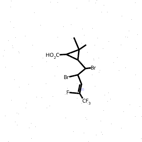 CC1(C)C(C(=O)O)C1C(Br)C(Br)/C=C(\F)C(F)(F)F